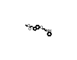 CCOC(=O)C[C@@H]1CCc2cc(OCCCNc3ccccc3)ccc21